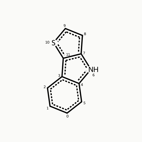 c1ccc2c(c1)[nH]c1ccsc12